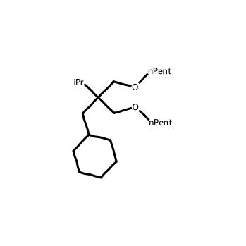 CCCCCOCC(COCCCCC)(CC1CCCCC1)C(C)C